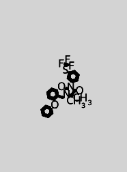 CC1(C)C(=O)N(c2cccc(SC(F)(F)F)c2)C(=O)N1Cc1ccccc1Oc1ccccc1